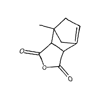 CC12CC=C(C1)C1C(=O)OC(=O)C12